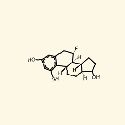 Oc1cc(O)c2c(c1)C[C@H](F)[C@H]1[C@@H]3CCC(O)[C@H]3CC[C@H]21